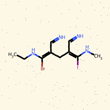 CCN/C(Br)=C(\C=N)C/C(C=N)=C(\I)NC